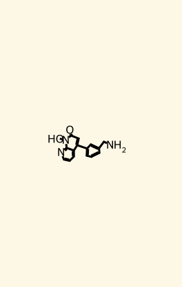 NCc1cccc(-c2cc(=O)n(O)c3ncccc23)c1